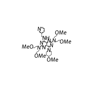 COCCN(CCOC)c1nc(N2CCC(OC)CC2)c2nc(N(CCOC)CCOC)nc(NCc3cccnc3)c2n1